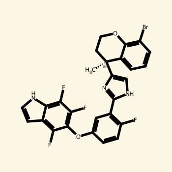 C[C@]1(c2c[nH]c(-c3cc(Oc4c(F)c(F)c5[nH]ccc5c4F)ccc3F)n2)CCOc2c(Br)cccc21